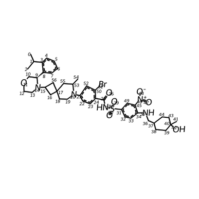 CC(C)c1ccccc1[C@@H]1COCCN1C1CC2(CCN(c3ccc(C(=O)NS(=O)(=O)c4ccc(NCC5CCC(C)(O)CC5)c([N+](=O)[O-])c4)c(Br)c3)C(C)C2)C1